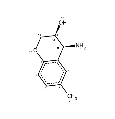 Cc1ccc2c(c1)[C@H](N)[C@H](O)CO2